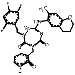 Cc1cc2c(cc1NC1=NC(=O)N(Cc3ccc[nH]c3=O)C(=O)N(Cc3cc(F)c(F)cc3F)N1)CCCO2